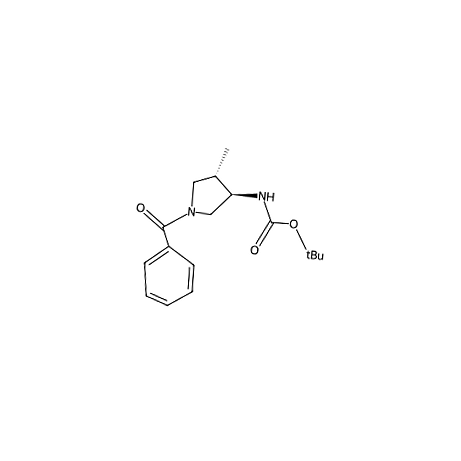 C[C@H]1CN(C(=O)c2ccccc2)C[C@@H]1NC(=O)OC(C)(C)C